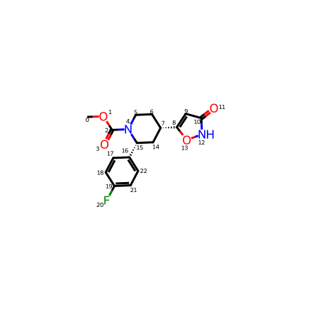 COC(=O)N1CC[C@H](c2cc(=O)[nH]o2)C[C@@H]1c1ccc(F)cc1